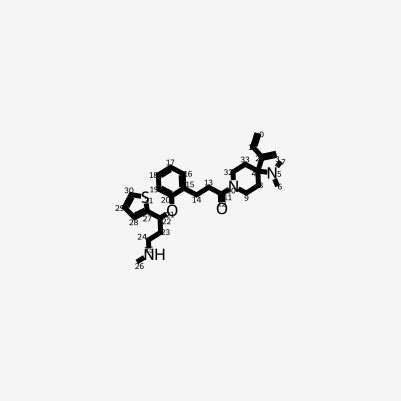 C=CC(=C)C1(N(C)C)CCN(C(=O)CCc2ccccc2OC(CCNC)c2cccs2)CC1